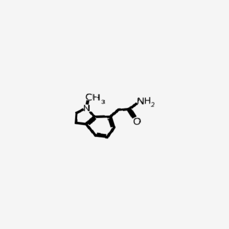 CN1CCc2cccc(CC(N)=O)c21